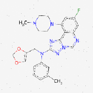 Cc1cccc(N(CC2=COCO2)c2nc3c4c(N5CCN(C)CC5)cc(F)cc4ncn3n2)c1